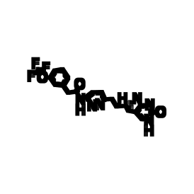 Nc1nc(=O)[nH]cc1CCCCc1ccc(NC(=O)Cc2cccc(OC(F)(F)F)c2)nn1